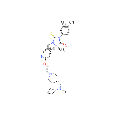 CCN(CC1CCN(CCOc2ccc(CN3C(=S)N(c4ccc(C#N)c(C(F)(F)F)c4)C(=O)C3(C)C)cn2)CC1)C1CCC1